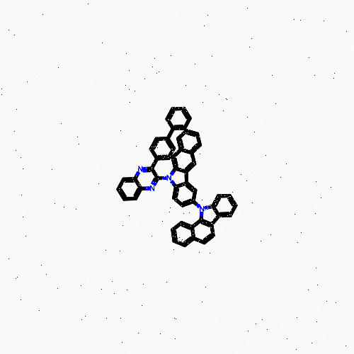 c1ccc(-c2ccc(-c3nc4ccccc4nc3-n3c4ccc(-n5c6ccccc6c6ccc7ccccc7c65)cc4c4cc5ccccc5cc43)cc2)cc1